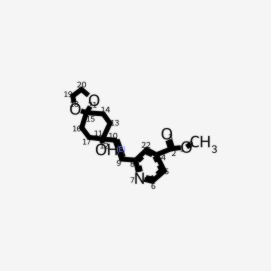 COC(=O)c1ccnc(/C=C/C2(O)CCC3(CC2)OCCO3)c1